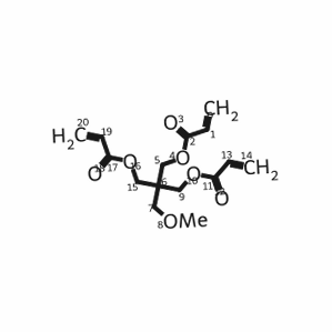 C=CC(=O)OCC(COC)(COC(=O)C=C)COC(=O)C=C